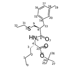 CCCC[C@H](NC(=O)[C@@H](CSCC)Cc1cccc(C)c1)C(=O)OC(C)(C)C